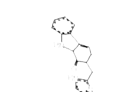 O=C1C(Cc2ncc[nH]2)CC=C2c3ccccc3NC12